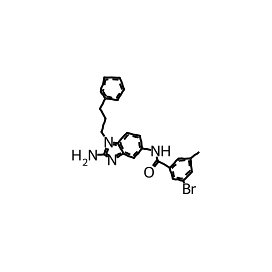 Cc1cc(Br)cc(C(=O)Nc2ccc3c(c2)nc(N)n3CCCc2ccccc2)c1